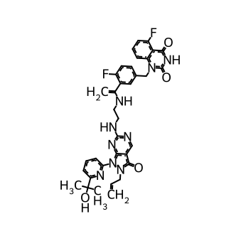 C=CCn1c(=O)c2cnc(NCCNC(=C)c3cc(Cn4c(=O)[nH]c(=O)c5c(F)cccc54)ccc3F)nc2n1-c1cccc(C(C)(C)O)n1